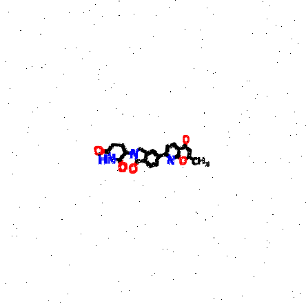 Cc1cc(=O)c2ccc(-c3ccc4c(c3)CN(C3CCC(=O)NC3=O)C4=O)nc2o1